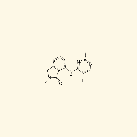 Cc1ncc(I)c(Nc2cccc3c2C(=O)N(C)C3)n1